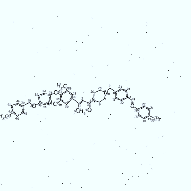 C/C(=C\C(=O)N1CCN(Cc2ccc(COc3ccc(C(C)C)cc3)cc2)CC1)c1cc(C)c(Oc2ccc(OCc3ccc(C)cc3)cn2)c(Cl)c1